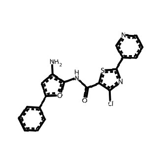 Nc1cc(-c2ccccc2)oc1NC(=O)c1sc(-c2cccnc2)nc1Cl